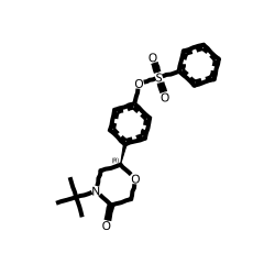 CC(C)(C)N1C[C@@H](c2ccc(OS(=O)(=O)c3ccccc3)cc2)OCC1=O